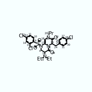 CCN(CC)C1CN(S(=O)(=O)c2ccc(Cl)cc2Cl)C2=CN(C(C)C)C(=O)C(Cc3ccc(Cl)cc3)N2C1=O